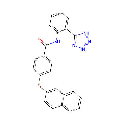 O=C(Nc1ccccc1-c1nnn[nH]1)c1ccc(Sc2ccc3ccccc3c2)cc1